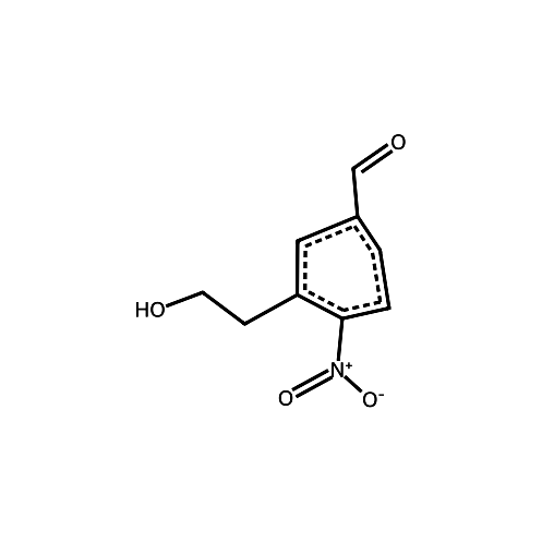 O=Cc1ccc([N+](=O)[O-])c(CCO)c1